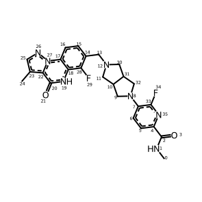 CNC(=O)c1ccc(N2CC3CN(Cc4ccc5c([nH]c(=O)c6c(C)cnn65)c4F)CC3C2)c(F)n1